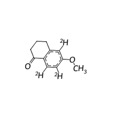 [2H]c1c([2H])c2c(c([2H])c1OC)CCCC2=O